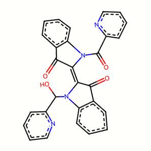 O=C1/C(=C2/C(=O)c3ccccc3N2C(O)c2ccccn2)N(C(=O)c2ccccn2)c2ccccc21